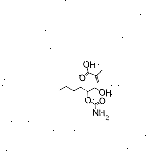 C=C(C)C(=O)O.CCCCC(CO)OC(N)=O